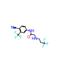 N#Cc1ccc(NC(=O)CNCCC(F)(F)F)cc1C(F)(F)F